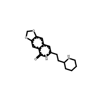 O=c1[nH]c(CCC2CCCCN2)cc2cc3c(cc12)OCO3